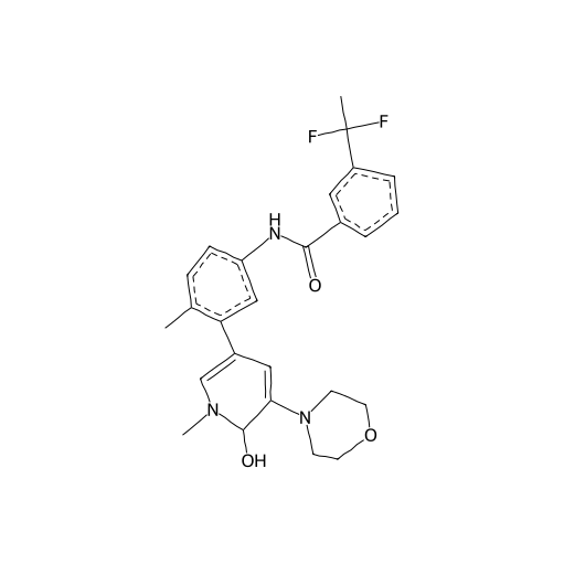 Cc1ccc(NC(=O)c2cccc(C(C)(F)F)c2)cc1C1=CN(C)C(O)C(N2CCOCC2)=C1